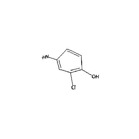 [NH]c1ccc(O)c(Cl)c1